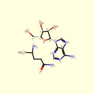 NC(=O)CCC(N)C(=O)O.Nc1ncnc2c1ncn2[C@@H]1O[C@H](CO)[C@@H](O)[C@H]1O